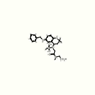 CN(CC(=O)O)C(=O)CN(C1CC(C)(C)Oc2ccc(OCc3ccccc3)cc21)S(C)(=O)=O